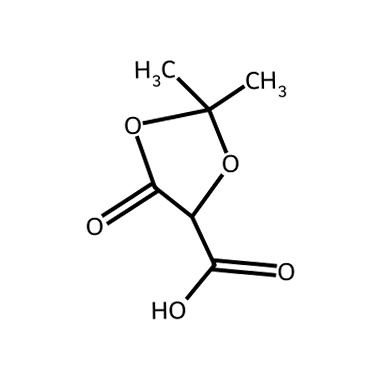 CC1(C)OC(=O)C(C(=O)O)O1